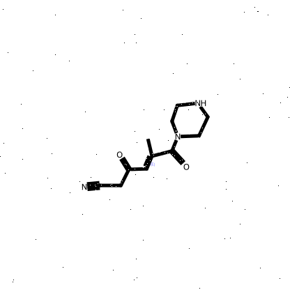 C/C(=C\C(=O)CC#N)C(=O)N1CCNCC1